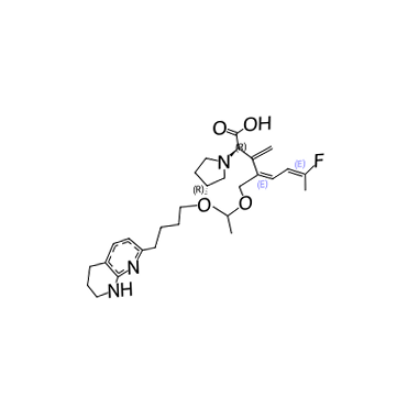 C=C(/C(=C\C=C(/C)F)COC(C)C)[C@H](C(=O)O)N1CC[C@@H](OCCCCc2ccc3c(n2)NCCC3)C1